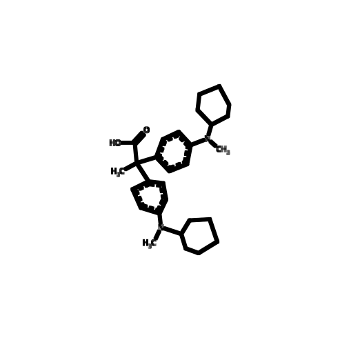 CN(c1ccc(C(C)(C(=O)O)c2ccc(N(C)C3CCCCC3)cc2)cc1)C1CCCCC1